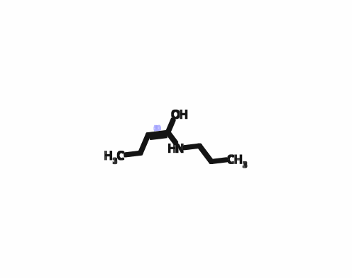 CC/C=C(/O)NCCC